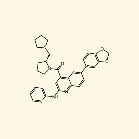 O=C(c1cc(Nc2ccccn2)nc2ccc(-c3ccc4c(c3)OCO4)cc12)N1CCC[C@H]1CN1CCCC1